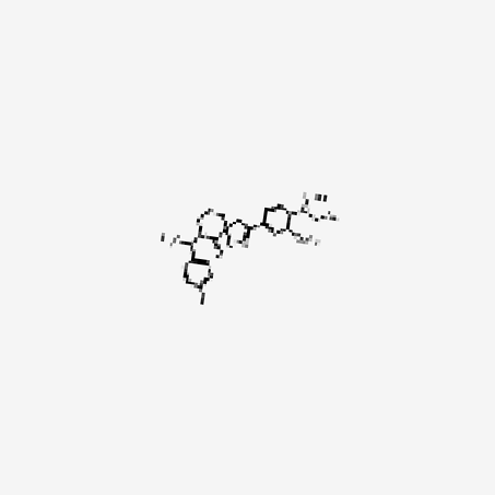 COc1cc(C2=NOC3(CCCN(C(C)c4ccc(F)cc4)C3=O)C2)ccc1N(C=O)CC(C)=O